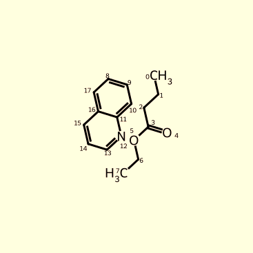 CCCC(=O)OCC.c1ccc2ncccc2c1